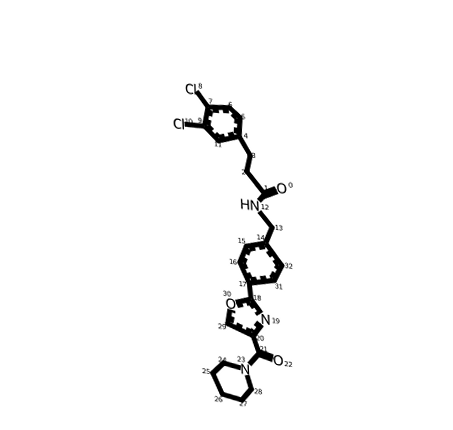 O=C(CCc1ccc(Cl)c(Cl)c1)NCc1ccc(-c2nc(C(=O)N3CCCCC3)co2)cc1